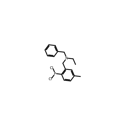 CCN(Cc1ccccc1)Cc1cc(C)ccc1P(Cl)Cl